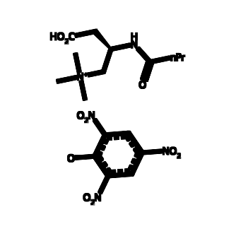 CCCC(=O)N[C@H](CC(=O)O)C[N+](C)(C)C.O=[N+]([O-])c1cc([N+](=O)[O-])c([O-])c([N+](=O)[O-])c1